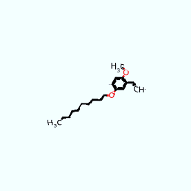 [CH]=Cc1cc(OCCCCCCCCCC)[c]cc1OC